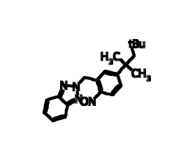 CC(C)(C)CC(C)(C)c1ccc(N=O)c(Cn2nc3ccccc3n2)c1